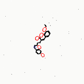 CCOc1cccc2cc(CCC(=O)/C=C\c3ccc(OC)cc3)c(=O)oc12